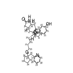 O=C1C[C@@H]2C[C@@]3(O)[C@H]4Cc5ccc(O)cc5[C@@]3(CCN4CCCCOC3(Cc4ccccn4)CCCC3)C[C@@H]2N1